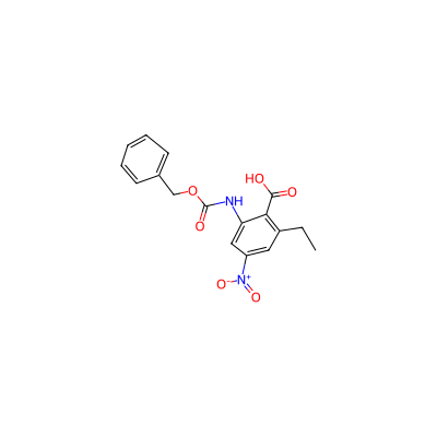 CCc1cc([N+](=O)[O-])cc(NC(=O)OCc2ccccc2)c1C(=O)O